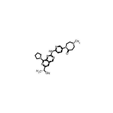 C[C@@H](O)c1cc2cnc(Nc3ccc(N4CCN(C)CCC4=O)cn3)nc2c(N2CCCC2)n1